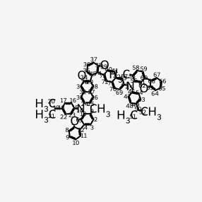 Cc1ccc2c(oc3ccccc32)c1N(c1ccc(C(C)C)cc1)c1ccc2cc3c(cc2c1)oc1ccc2oc4cc5cc(N(c6ccc(C(C)C)cc6)c6c(C)ccc7c6oc6ccccc67)ccc5cc4c2c13